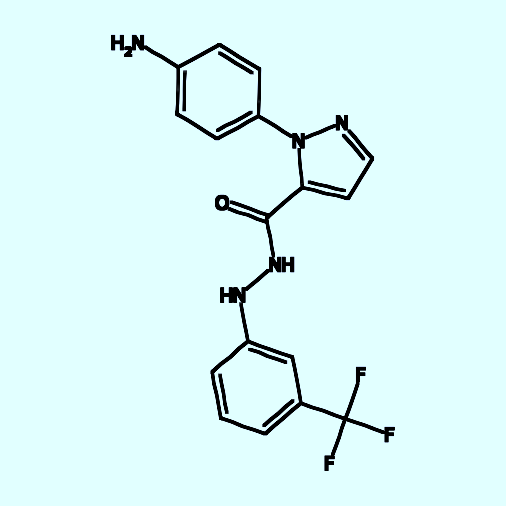 Nc1ccc(-n2nccc2C(=O)NNc2cccc(C(F)(F)F)c2)cc1